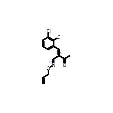 C=CCO/N=C/C(=C\c1cccc(Cl)c1Cl)C(C)=O